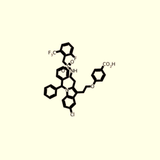 O=C(O)c1ccc(OCCc2c(CCNS(=O)(=O)Cc3c(F)cccc3C(F)(F)F)n(C(c3ccccc3)c3ccccc3)c3ccc(Cl)cc23)cc1